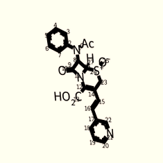 CC(=O)N(c1ccccc1)C1C(=O)N2C(C(=O)O)=C(C=Cc3cccnc3)C[S+]([O-])[C@@H]12